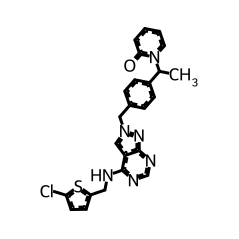 CC(c1ccc(Cn2cc3c(NCc4ccc(Cl)s4)ncnc3n2)cc1)n1ccccc1=O